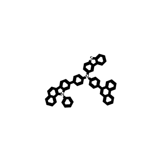 c1ccc(-n2c3cc(-c4ccc(N(c5ccc(-c6cc7ccccc7c7ccccc67)cc5)c5ccc6sc7ccccc7c6c5)cc4)ccc3c3ccc4ccccc4c32)cc1